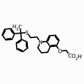 CC(SCCN1CCCc2c(OCC(=O)O)cccc21)(c1ccccc1)c1ccccc1